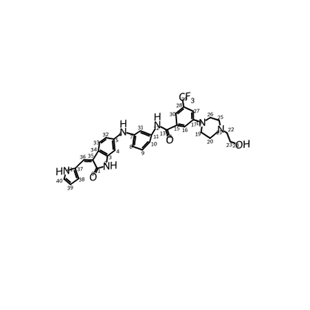 O=C1Nc2cc(Nc3cccc(NC(=O)c4cc(N5CCN(CCO)CC5)cc(C(F)(F)F)c4)c3)ccc2/C1=C/c1ccc[nH]1